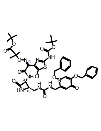 CC(C)(C)OC(=O)Nc1nc(/C(=N/OC(C)(C)C(=O)OC(C)(C)C)C(=O)N[C@@H]2C(=O)N[C@@H]2CNC(=O)NCc2cc(=O)c(OCc3ccccc3)cn2OCc2ccccc2)c(Cl)s1